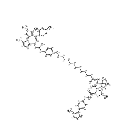 CC1=C2C(c3ccc(C)cc3)=CC(CC(=O)Cc3ccc(OCCCCCCCCCCCCC(=O)NC(C(=O)C4CC(O)C[C@H]4C(=O)NCc4ccc(-c5[nH]ccc5C)cc4)C(C)(C)C)cc3)c3nnc(C)n3C2=CC1C